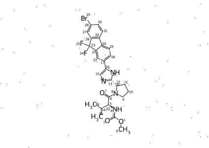 COC(=O)N[C@H](C(=O)N1CCC[C@H]1c1ncc(-c2ccc3c(c2)C(F)(F)c2cc(Br)ccc2-3)[nH]1)C(C)C